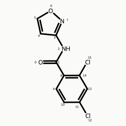 O=C(Nc1ccon1)c1ccc(Cl)cc1Cl